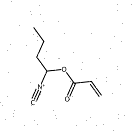 [C-]#[N+]C(CCC)OC(=O)C=C